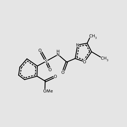 COC(=O)c1ccccc1S(=O)(=O)NC(=O)c1nc(C)c(C)o1